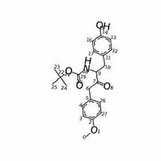 COc1ccc(CC(=O)C(Cc2ccc(O)cc2)NC(=O)OC(C)(C)C)cc1